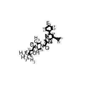 C[C@H]1CN(C(=O)c2cn3nc(-c4ccc(F)cc4)cc(C4CC4)c3n2)CCN1C(=O)[C@H](O)CC(C)(C)C